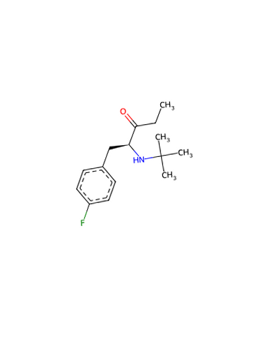 CCC(=O)[C@H](Cc1ccc(F)cc1)NC(C)(C)C